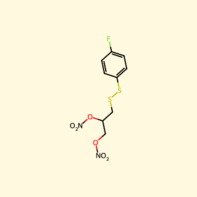 O=[N+]([O-])OCC(CSSc1ccc(F)cc1)O[N+](=O)[O-]